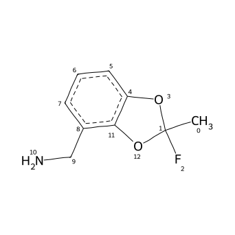 CC1(F)Oc2cccc(CN)c2O1